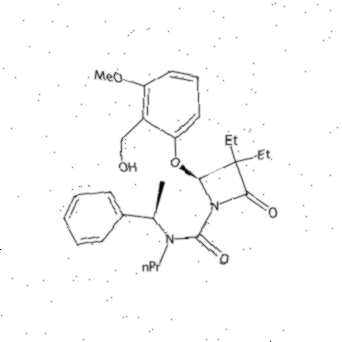 CCCN(C(=O)N1C(=O)C(CC)(CC)[C@@H]1Oc1cccc(OC)c1CO)[C@H](C)c1ccccc1